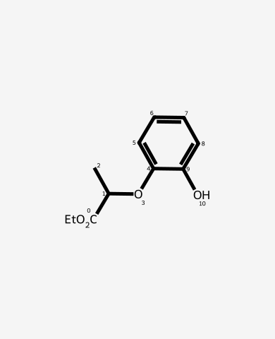 CCOC(=O)C(C)Oc1ccccc1O